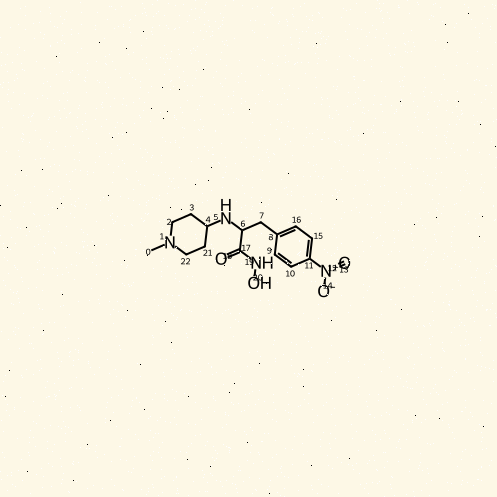 CN1CCC(NC(Cc2ccc([N+](=O)[O-])cc2)C(=O)NO)CC1